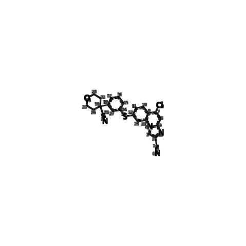 N#Cc1cn2c(cc(Cl)c3ccc(Sc4cccc(C5(C#N)CCOCC5)c4)cc32)n1